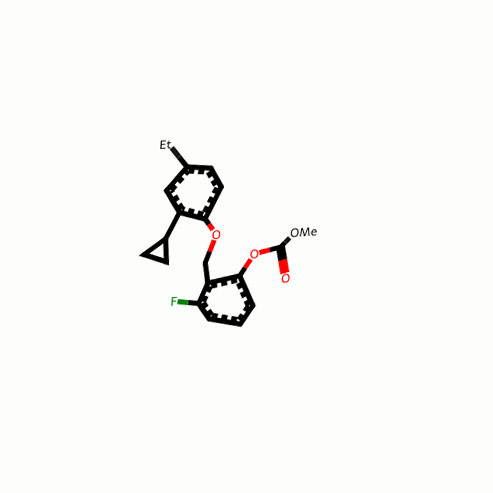 CCc1ccc(OCc2c(F)cccc2OC(=O)OC)c(C2CC2)c1